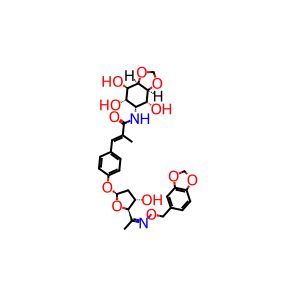 CC(=Cc1ccc(O[C@H]2C[C@H](O)[C@@H](C(C)=NOCc3ccc4c(c3)OCO4)O2)cc1)C(=O)N[C@@H]1[C@H](O)[C@@H](O)[C@H]2OCO[C@H]2[C@@H]1O